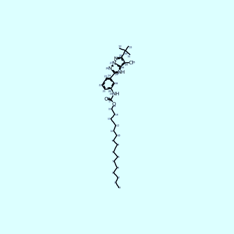 CCCCCCCCCCCCCCCCOC(=O)Nc1cccc(-c2nn3nc(C(C)(C)C)c(Cl)c3[nH]2)c1